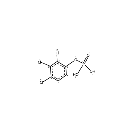 O=P(O)(O)Oc1ccc(Cl)c(Cl)c1Cl